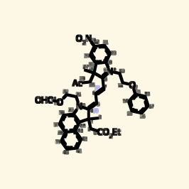 CCOC(=O)CC1(C)/C(=C/C=C/C2=[N+](CCOc3ccccc3)c3ccc([N+](=O)[O-])cc3C2(C)CC(C)=O)N(CCOC=O)c2ccc3ccccc3c21